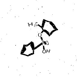 Cc1ccccc1OP(=O)(O)c1ccccc1